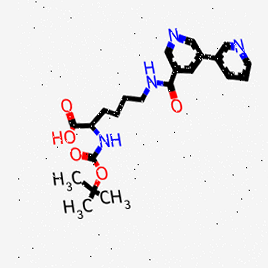 CC(C)(C)OC(=O)NC(CCCCNC(=O)c1cncc(-c2cccnc2)c1)C(=O)O